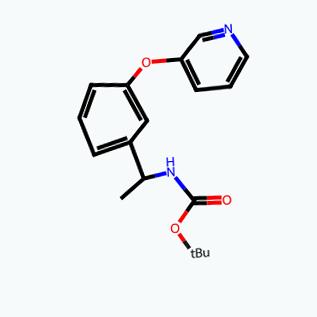 CC(NC(=O)OC(C)(C)C)c1cccc(Oc2cccnc2)c1